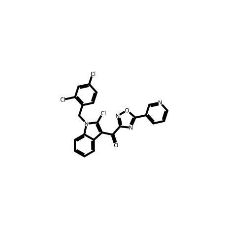 O=C(c1noc(-c2cccnc2)n1)c1c(Cl)n(Cc2ccc(Cl)cc2Cl)c2ccccc12